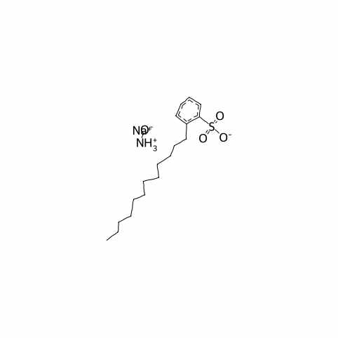 CCCCCCCCCCCCc1ccccc1S(=O)(=O)[O-].[NH3+][O-].[Na+]